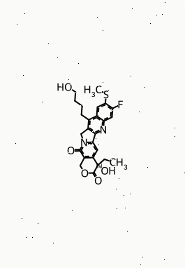 CC[C@@]1(O)C(=O)OCc2c1cc1n(c2=O)Cc2c-1nc1cc(F)c(SC)cc1c2CCCCO